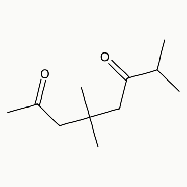 CC(=O)CC(C)(C)CC(=O)C(C)C